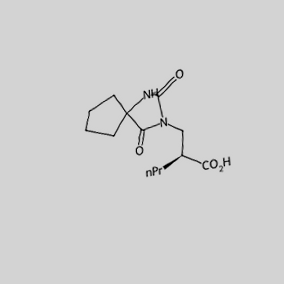 CCC[C@@H](CN1C(=O)NC2(CCCC2)C1=O)C(=O)O